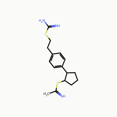 CC(=N)SC1CCCC1c1ccc(CCSC(=N)N)cc1